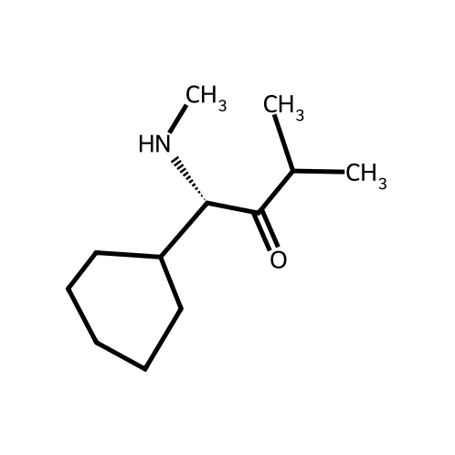 CN[C@H](C(=O)C(C)C)C1CCCCC1